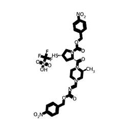 C[C@H]1CN(C=NC(=O)OCc2ccc([N+](=O)[O-])cc2)CCN1C(=O)[C@@H]1C[C@H](S)CN1C(=O)OCc1ccc([N+](=O)[O-])cc1.O=S(=O)(O)C(F)(F)F